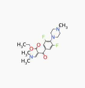 CCOC(=O)C(=CN(C)C)C(=O)c1cc(F)c(N2CCN(C)CC2)c(F)c1